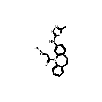 Cc1nnc(Nc2ccc3c(c2)N(C(=O)COC(C)(C)C)c2ccccc2CC3)o1